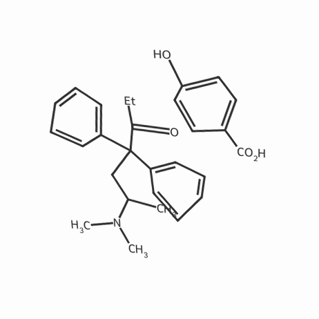 CCC(=O)C(CC(C)N(C)C)(c1ccccc1)c1ccccc1.O=C(O)c1ccc(O)cc1